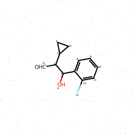 O=CC(C1CC1)C(O)c1ccccc1F